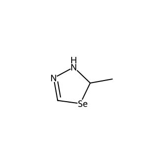 CC1NN=C[Se]1